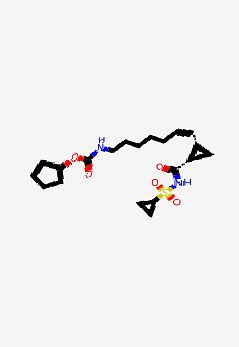 O=C(NCCCCC/C=C\[C@@H]1C[C@@H]1C(=O)NS(=O)(=O)C1CC1)OC1CCCC1